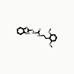 COc1cccc(OC)c1CCNC(=O)NSc1nc2ccccc2[nH]1